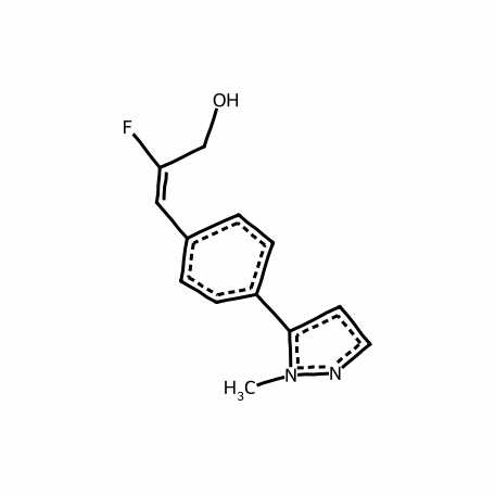 Cn1nccc1-c1ccc(/C=C(/F)CO)cc1